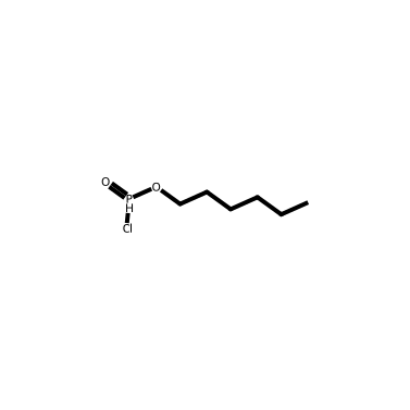 CCCCCCO[PH](=O)Cl